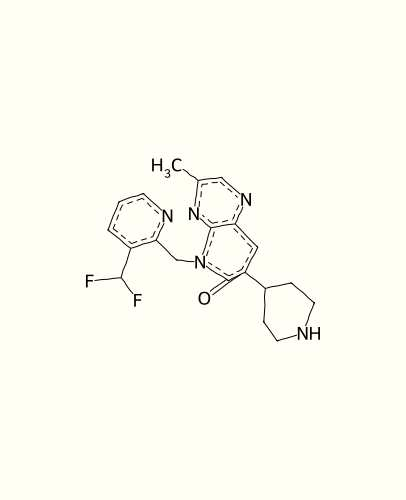 Cc1cnc2cc(C3CCNCC3)c(=O)n(Cc3ncccc3C(F)F)c2n1